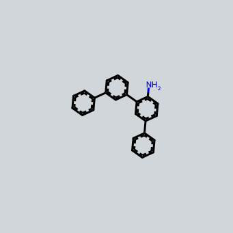 Nc1ccc(-c2ccccc2)cc1-c1cccc(-c2ccccc2)c1